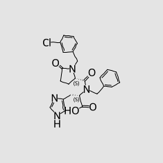 O=C(O)[C@H](Cc1c[nH]cn1)N(Cc1ccccc1)C(=O)[C@@H]1CCC(=O)N1Cc1cccc(Cl)c1